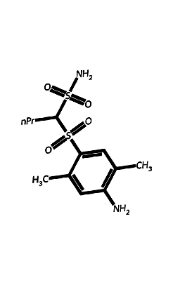 CCCC(S(N)(=O)=O)S(=O)(=O)c1cc(C)c(N)cc1C